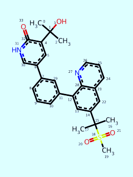 CC(C)(O)c1cc(-c2cccc(-c3cc(C(C)(C)S(C)(=O)=O)cc4cccnc34)c2)c[nH]c1=O